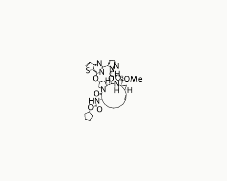 COC(=O)[C@@]12C[C@H]1/C=C\CCCCC[C@H](NC(=O)OC1CCCC1)C(=O)N1C[C@H](Oc3nc(-c4ccnn4C)nc4ccsc34)C[C@H]1C(=O)N2